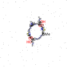 C/C=C/[C@H](O)C(C)(C)[C@@H]1C\C=C/C=C\C=C\[C@H](OC)Cc2nc(cs2)C(=O)O[C@H](C(C)(C)[C@@H](O)/C=C/C)C/C=C\[C@@H]2[C@H](/C=C/C=C\c3nc(cs3)C(=O)O1)N2C